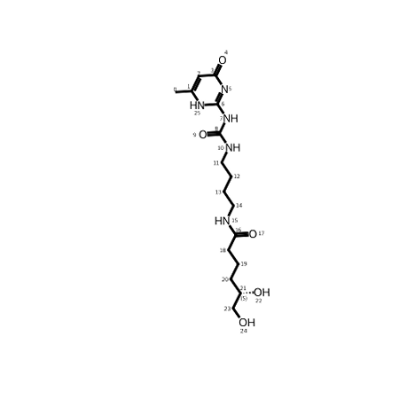 Cc1cc(=O)nc(NC(=O)NCCCCNC(=O)CCC[C@H](O)CO)[nH]1